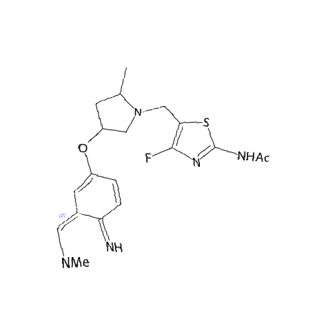 CN/C=C1/C=C(OC2CC(C)N(Cc3sc(NC(C)=O)nc3F)C2)C=CC1=N